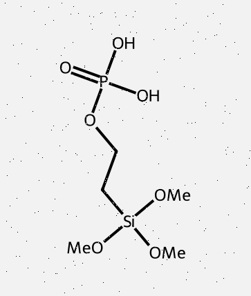 CO[Si](CCOP(=O)(O)O)(OC)OC